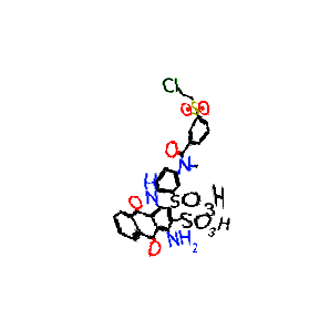 CN(C(=O)c1cccc(S(=O)(=O)CCCl)c1)c1ccc(Nc2cc(S(=O)(=O)O)c(N)c3c2C(=O)c2ccccc2C3=O)c(S(=O)(=O)O)c1